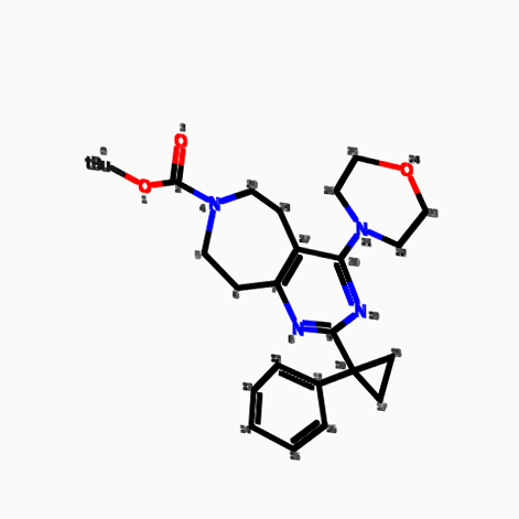 CC(C)(C)OC(=O)N1CCc2nc(C3(c4ccccc4)CC3)nc(N3CCOCC3)c2CC1